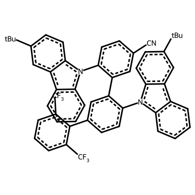 CC(C)(C)c1ccc2c(c1)c1ccccc1n2-c1ccc(C#N)cc1-c1cc(-c2c(C(F)(F)F)cccc2C(F)(F)F)ccc1-n1c2ccccc2c2cc(C(C)(C)C)ccc21